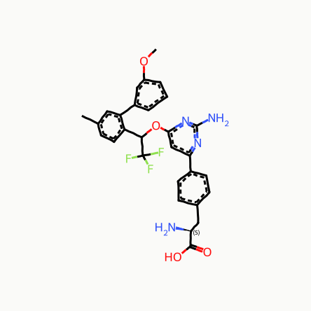 COc1cccc(-c2cc(C)ccc2C(Oc2cc(-c3ccc(C[C@H](N)C(=O)O)cc3)nc(N)n2)C(F)(F)F)c1